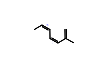 C=C(C)/C=C\C=C/C